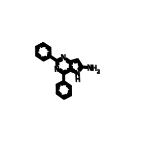 Nc1cc2nc(-c3ccccc3)nc(-c3ccccc3)c2[nH]1